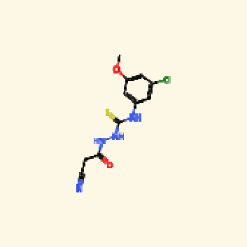 COc1cc(Cl)cc(NC(=S)NNC(=O)CC#N)c1